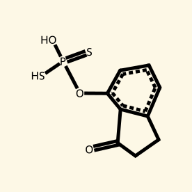 O=C1CCc2cccc(OP(O)(=S)S)c21